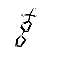 CC(C)(C)c1ccc(-n2ccnc2)cn1